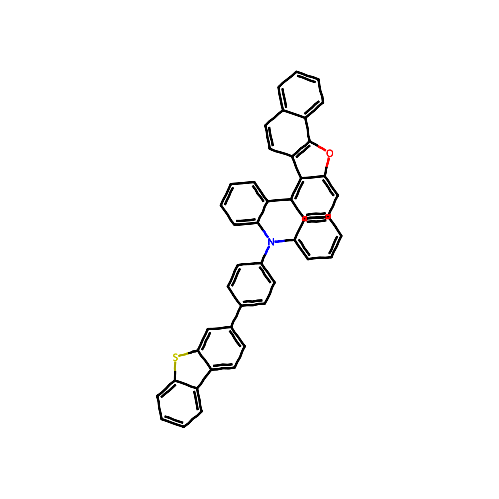 c1ccc(N(c2ccc(-c3ccc4c(c3)sc3ccccc34)cc2)c2ccccc2-c2cccc3oc4c5ccccc5ccc4c23)cc1